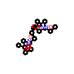 c1ccc(-c2ccc3ccccc3c2-c2ccccc2-c2nc(-c3cccc4c3oc3ccccc34)cc(-c3cccc4c3oc3ccc(-c5cccc6oc7c(-c8cc(-c9cccc%10c9oc9ccccc9%10)nc(-c9ccccc9-c9ccc(-c%10ccccc%10)c%10ccccc9%10)n8)cccc7c56)cc34)n2)cc1